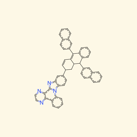 C1=CC(c2ccc3c(c2)nc2c4nccnc4c4ccccc4n32)CC2C1=C(c1ccc3ccccc3c1)c1ccccc1C2c1ccc2ccccc2c1